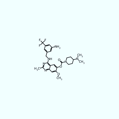 COc1cc2nc(C)nc(NCc3cc(N)cc(C(F)(F)F)c3)c2cc1OC(=O)N1CCC(N(C)C)CC1